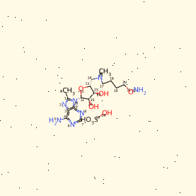 Cc1nc2c(N)ncnc2n1[C@@H]1O[C@H](CN(C)CCCCON)[C@@H](O)[C@H]1O.O=S(=O)(O)O